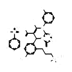 COC(=O)C1=C(C)N(c2cccc(C(F)(F)F)c2)c2n[nH]c(=O)n2C1c1ccc(C#N)cc1CCC[N+](C)(C)C.O=S(=O)([O-])c1ccccc1